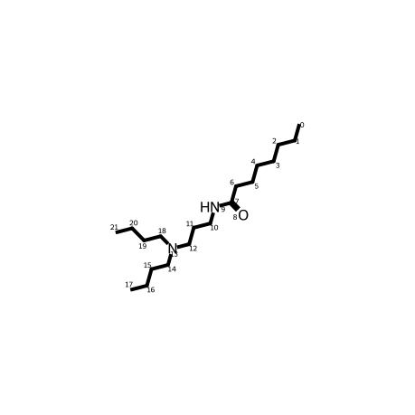 CCCCCCCC(=O)NCCCN(CCCC)CCCC